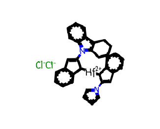 C1=C(n2cccc2)[CH]([Hf+2][CH]2C(n3c4c(c5ccccc53)CCCC4)=Cc3ccccc32)c2ccccc21.[Cl-].[Cl-]